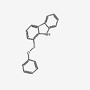 c1ccc(OSc2cccc3c2[nH]c2ccccc23)cc1